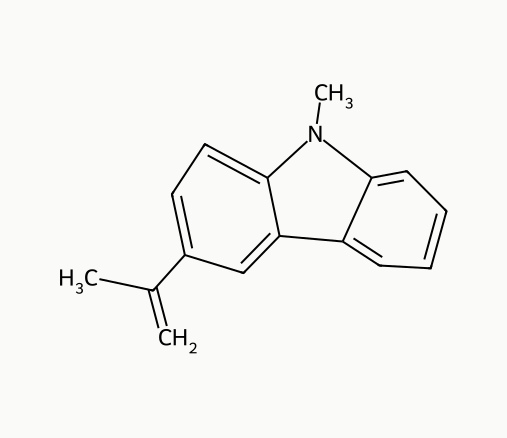 C=C(C)c1ccc2c(c1)c1ccccc1n2C